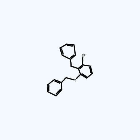 Oc1cccc(OCc2ccccc2)c1Cc1ccccc1